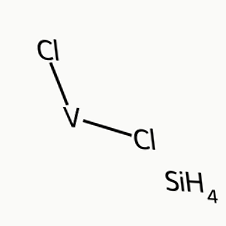 [Cl][V][Cl].[SiH4]